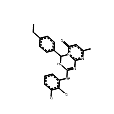 CCc1ccc(C2NC(Nc3cccc(Cl)c3Cl)=Nc3nc(C)cc(=O)n32)cc1